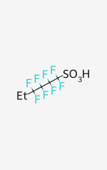 CCC(F)(F)C(F)(F)C(F)(F)C(F)(F)S(=O)(=O)O